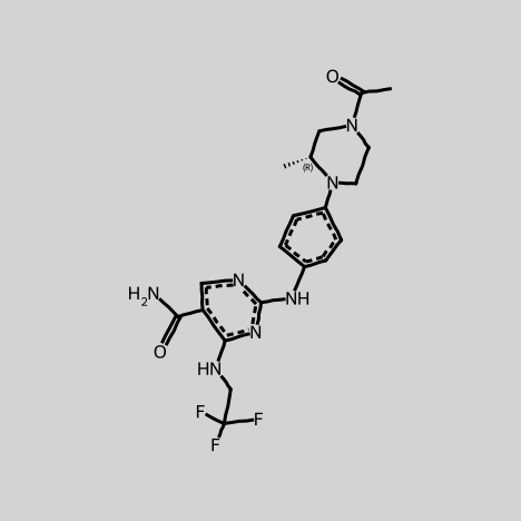 CC(=O)N1CCN(c2ccc(Nc3ncc(C(N)=O)c(NCC(F)(F)F)n3)cc2)[C@H](C)C1